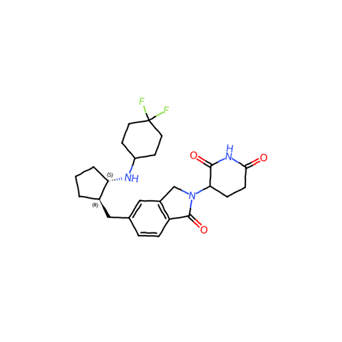 O=C1CCC(N2Cc3cc(C[C@H]4CCC[C@@H]4NC4CCC(F)(F)CC4)ccc3C2=O)C(=O)N1